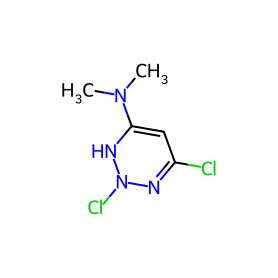 CN(C)C1=CC(Cl)=NN(Cl)N1